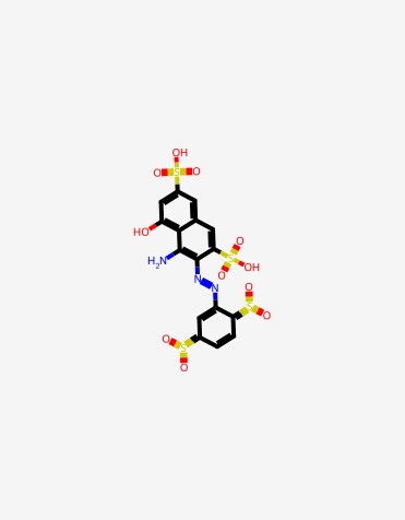 Nc1c(N=NC2=CC(=S(=O)=O)C=CC2=S(=O)=O)c(S(=O)(=O)O)cc2cc(S(=O)(=O)O)cc(O)c12